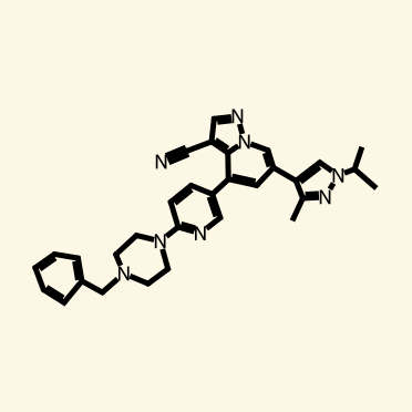 Cc1nn(C(C)C)cc1-c1cc(-c2ccc(N3CCN(Cc4ccccc4)CC3)nc2)c2c(C#N)cnn2c1